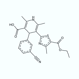 CCOC(=O)c1sc(C2=C(C)NC(C)=C(C(=O)O)C2c2cccc(C#N)c2)nc1C